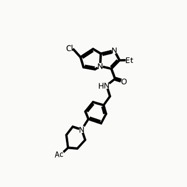 CCc1nc2cc(Cl)ccn2c1C(=O)NCc1ccc(N2CCC(C(C)=O)CC2)cc1